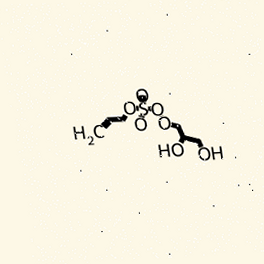 C=CCOS(=O)(=O)OOCC(O)CO